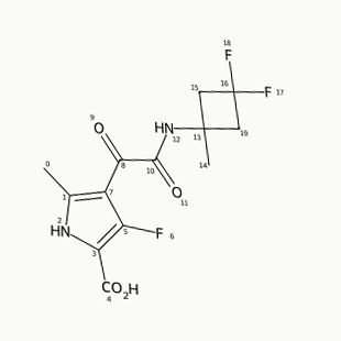 Cc1[nH]c(C(=O)O)c(F)c1C(=O)C(=O)NC1(C)CC(F)(F)C1